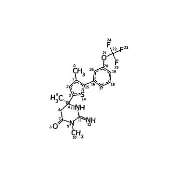 Cc1cc([C@]2(C)CC(=O)N(C)C(=N)N2)sc1-c1cccc(OC(F)(F)F)c1